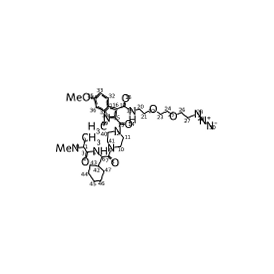 CNC(C)C(=O)NC(C(=O)N1CCN(C(=O)c2c(C(=O)NCCOCCOCCN=[N+]=[N-])c3ccc(OC)cc3n2C)CC1)C1CCCCC1